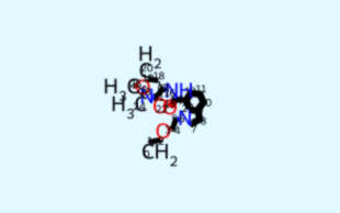 C=CCOCCn1ccc2cccc(C(=O)N[C@@H](CC=C)C(=O)N(C)OC)c21